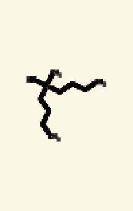 CCCC[Si](C)(O)CCCC